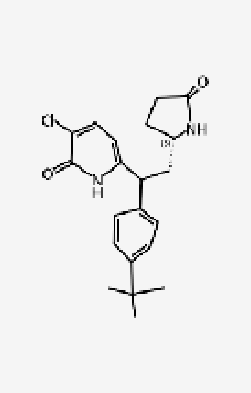 CC(C)(C)c1ccc(C(C[C@@H]2CCC(=O)N2)c2ccc(Cl)c(=O)[nH]2)cc1